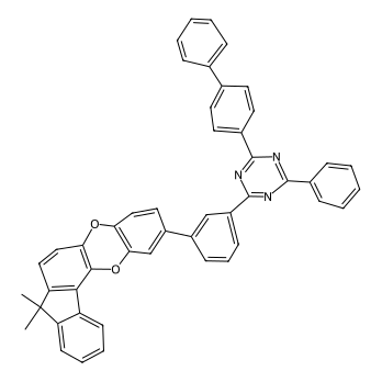 CC1(C)c2ccccc2-c2c1ccc1c2Oc2cc(-c3cccc(-c4nc(-c5ccccc5)nc(-c5ccc(-c6ccccc6)cc5)n4)c3)ccc2O1